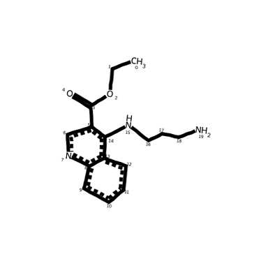 CCOC(=O)c1cnc2ccccc2c1NCCCN